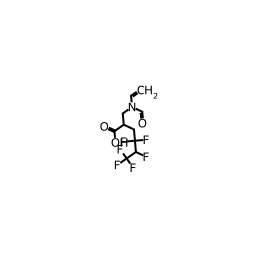 C=CN(C=O)CC(CC(F)(F)C(F)C(F)(F)F)C(=O)O